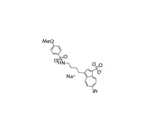 COc1ccc(S(=O)(=O)NCCCCc2cc(S(=O)(=O)[O-])c3ccc(C(C)C)ccc2-3)cc1.[Na+]